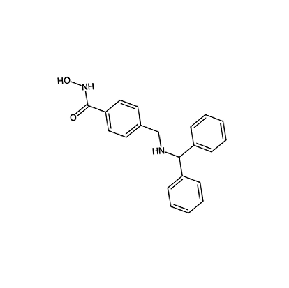 O=C(NO)c1ccc(CNC(c2ccccc2)c2ccccc2)cc1